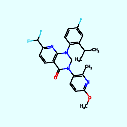 COc1ccc(N2CN(c3ccc(F)cc3C(C)C)c3nc(C(F)F)ccc3C2=O)c(C)n1